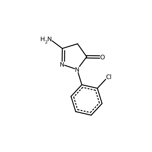 NC1=NN(c2ccccc2Cl)C(=O)C1